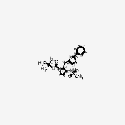 CC(C)(C)OC(=O)N1CC[C@H](NS(C)(=O)=O)[C@@H]1Cc1csc(-c2ccccc2)n1